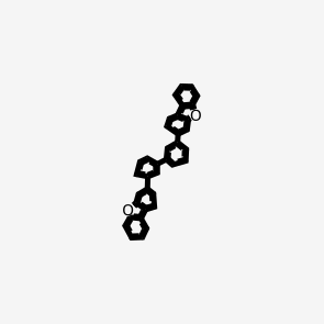 c1cc(-c2cccc(-c3ccc4c(c3)oc3ccccc34)c2)cc(-c2ccc3c(c2)oc2ccccc23)c1